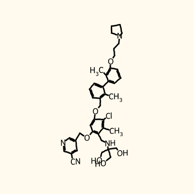 Cc1c(COc2cc(OCc3cncc(C#N)c3)c(CNC(CO)(CO)CO)c(C)c2Cl)cccc1-c1cccc(OCCCN2CCCC2)c1C